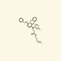 CCCCOC(=O)CCN(C(=O)N1Cc2ccccc2CC1C(=O)OCc1ccccc1)C(C)C